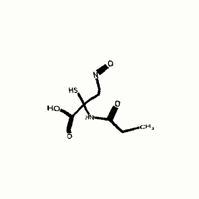 CCC(=O)NC(S)(CN=O)C(=O)O